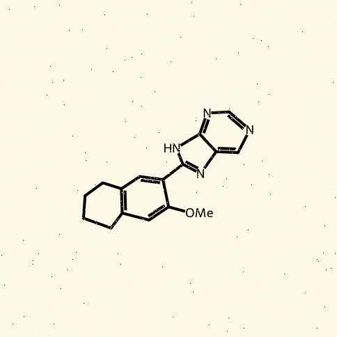 COc1cc2c(cc1-c1nc3cncnc3[nH]1)CCCC2